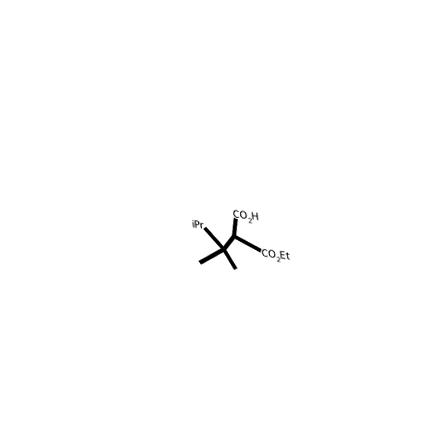 CCOC(=O)C(C(=O)O)C(C)(C)C(C)C